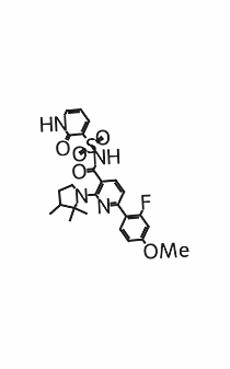 COc1ccc(-c2ccc(C(=O)NS(=O)(=O)c3ccc[nH]c3=O)c(N3CCC(C)C3(C)C)n2)c(F)c1